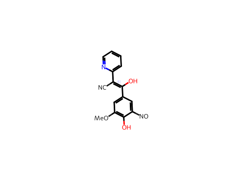 COc1cc(/C(O)=C(\C#N)c2ccccn2)cc(N=O)c1O